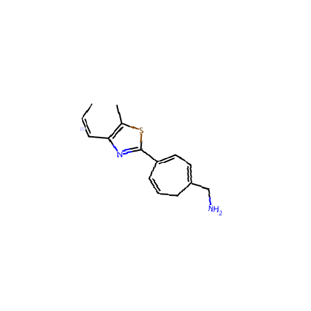 C/C=C\c1nc(C2=CC=C(CN)CC=C2)sc1C